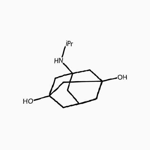 CC(C)NC12CC3CC(O)(CC(O)(C3)C1)C2